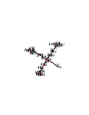 CC(=O)N[C@@H](CO)C(OCCCCC(=O)NCCCNC(=O)CCOCC(COCCC(=O)NCCCNC(=O)CCCCOC(OC(CO)[C@H](C)O)[C@H](CO)NC(C)=O)(COCCC(=O)NCCCNC(=O)CCCCOC(OC(CO)[C@H](C)O)[C@H](CO)NC(C)=O)NC(=O)CCCCCCCCCCC(=O)C(C)(C)C)OC(CO)[C@H](C)O